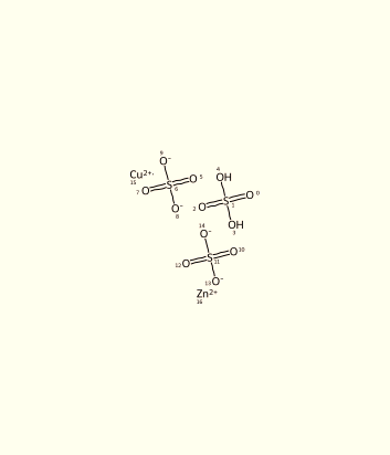 O=S(=O)(O)O.O=S(=O)([O-])[O-].O=S(=O)([O-])[O-].[Cu+2].[Zn+2]